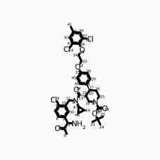 CC(=O)C(N)c1ccc(Cl)c(CN(C(=O)[C@H]2CN(C(=O)OC(C)(C)C)CC[C@@H]2c2ccc(OCCOc3c(Cl)cc(C)cc3Cl)cc2)C2CC2)c1